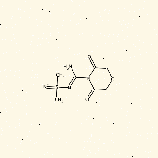 CS(C)(#N)N=C(N)N1C(=O)COCC1=O